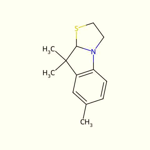 Cc1ccc2c(c1)C(C)(C)C1SCCN21